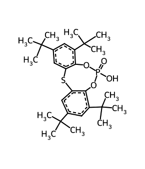 CC(C)(C)c1cc2c(c(C(C)(C)C)c1)OP(=O)(O)Oc1c(cc(C(C)(C)C)cc1C(C)(C)C)S2